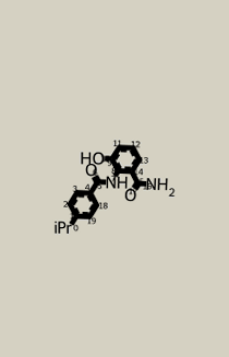 CC(C)c1ccc(C(=O)Nc2c(O)cccc2C(N)=O)cc1